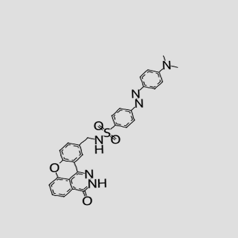 CN(C)c1ccc(/N=N/c2ccc(S(=O)(=O)NCc3ccc4c(c3)-c3n[nH]c(=O)c5cccc(c35)O4)cc2)cc1